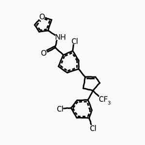 O=C(Nc1ccoc1)c1ccc(C2=CCC(c3cc(Cl)cc(Cl)c3)(C(F)(F)F)C2)cc1Cl